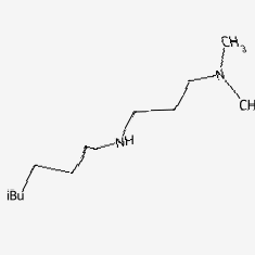 CCC(C)CCCNCCCN(C)C